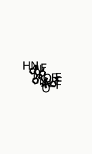 CC1(C)C(=O)N(c2ccc(F)c(C(F)(F)F)c2)C(=O)N1Cc1ccc(F)cc1N(c1ccccc1)c1cccc2[nH]cnc12